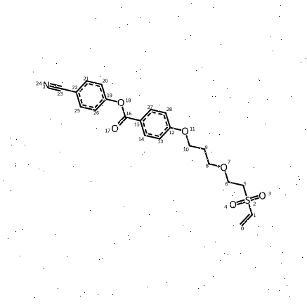 C=CS(=O)(=O)CCOCCCOc1ccc(C(=O)Oc2ccc(C#N)cc2)cc1